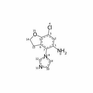 Nc1cc(Cl)c2c(c1-n1ccnc1)CCO2